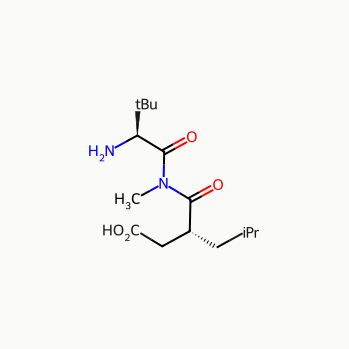 CC(C)C[C@H](CC(=O)O)C(=O)N(C)C(=O)[C@@H](N)C(C)(C)C